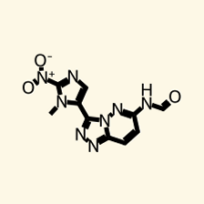 Cn1c(-c2nnc3ccc(NC=O)nn23)cnc1[N+](=O)[O-]